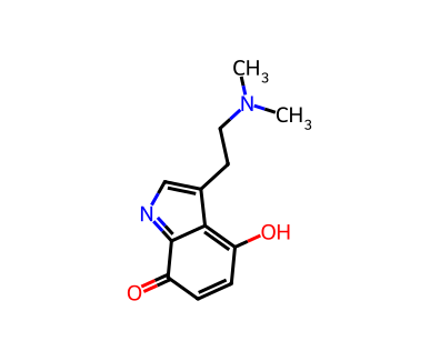 CN(C)CCC1=CN=C2C(=O)C=CC(O)=C12